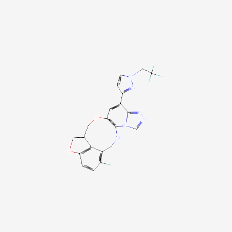 Fc1ccc2c3c1CNc1c(cc(-c4ccn(CC(F)(F)F)n4)c4nncn14)OC[C@@H]3CO2